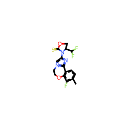 Cc1ccc2c(c1F)OCCn1cc(N3C(=S)OCC3C(F)F)nc1-2